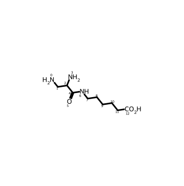 NCC(N)C(=O)NCCCCCC(=O)O